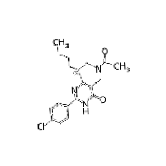 CCCC[C@H]1CN(C(C)=O)Cc2c1nc(-c1ccc(Cl)cc1)[nH]c2=O